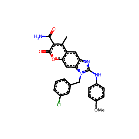 COc1ccc(Nc2nc3cc4c(C)c(C(N)=O)c(=O)oc4cc3n2Cc2cccc(Cl)c2)cc1